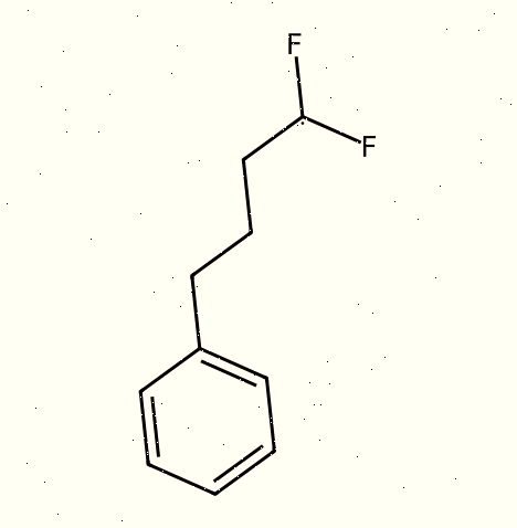 F[C](F)CCCc1ccccc1